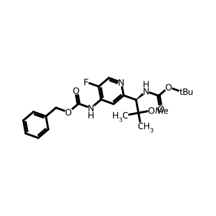 COC(C)(C)[C@H](NC(=O)OC(C)(C)C)c1cc(NC(=O)OCc2ccccc2)c(F)cn1